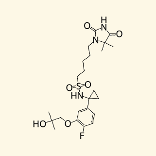 CC(C)(O)COc1cc(C2(NS(=O)(=O)CCCCCN3C(=O)NC(=O)C3(C)C)CC2)ccc1F